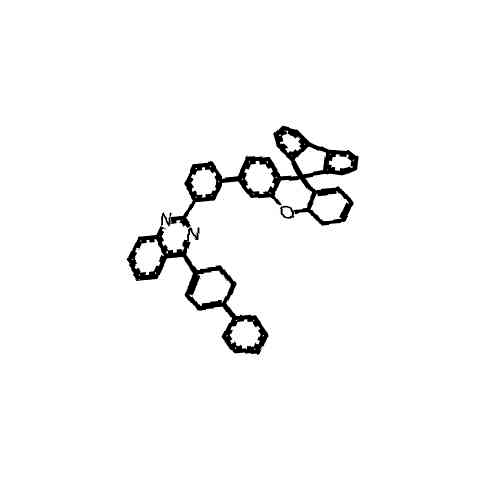 C1=CCC2Oc3cc(-c4cccc(-c5nc(C6=CC=C(c7ccccc7)CC6)c6ccccc6n5)c4)ccc3C3(C2=C1)c1ccccc1-c1ccccc13